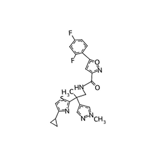 Cn1cc(C(C)(CNC(=O)c2cc(-c3ccc(F)cc3F)on2)c2nc(C3CC3)cs2)cn1